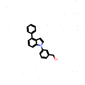 OCc1cccc(-n2ccc3c(-c4ccccc4)cccc32)c1